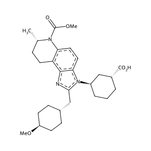 COC(=O)N1c2ccc3c(nc(C[C@H]4CC[C@H](OC)CC4)n3[C@@H]3CCC[C@@H](C(=O)O)C3)c2CC[C@@H]1C